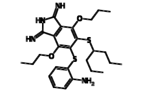 CCCOc1c(Sc2ccccc2N)c(SC(CCC)CCC)c(OCCC)c2c1C(=N)NC2=N